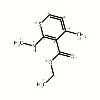 CCOC(=O)C1=C(NC)SC=C=C1C